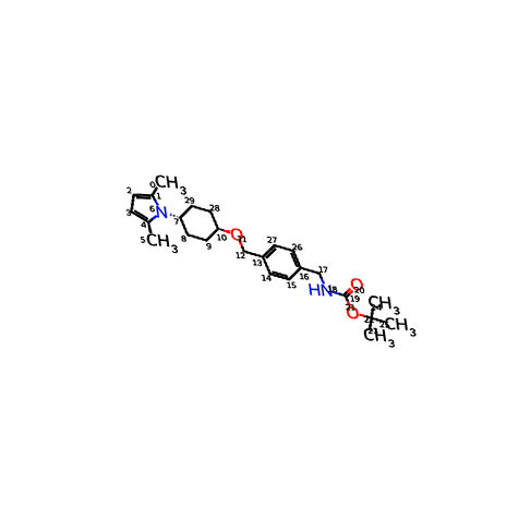 Cc1ccc(C)n1[C@H]1CC[C@H](OCc2ccc(CNC(=O)OC(C)(C)C)cc2)CC1